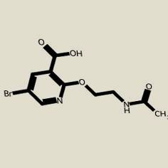 CC(=O)NCCOc1ncc(Br)cc1C(=O)O